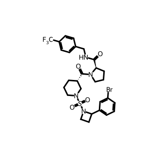 O=C(NCc1ccc(C(F)(F)F)cc1)[C@H]1CCCN1C(=O)[C@H]1CCCN(S(=O)(=O)N2CCC2c2cccc(Br)c2)C1